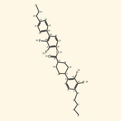 CCCCCc1ccc(C2CCC(C(=O)Oc3ccc(-c4ccc(CCC)cc4)c(F)c3F)CC2)c(F)c1F